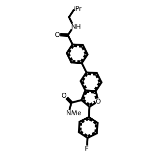 CNC(=O)c1c(-c2ccc(F)cc2)oc2ccc(-c3ccc(C(=O)NCC(C)C)cc3)cc12